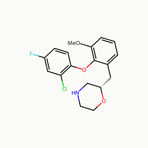 COc1cccc(C[C@H]2CNCCO2)c1Oc1ccc(F)cc1Cl